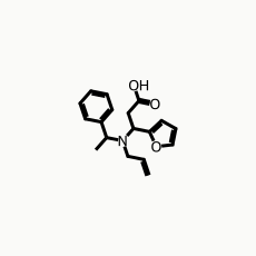 C=CCN(C(C)c1ccccc1)C(CC(=O)O)c1ccco1